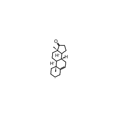 C[C@]12CC[CH]CC1=CC[C@@H]1[C@@H]2CC[C@]2(C)C(=O)CC[C@@H]12